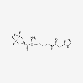 N[C@@H](CCCCNC(=O)Cc1cccs1)C(=O)N1CC(F)(F)C(F)(F)C1